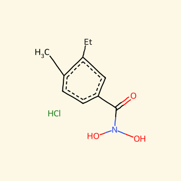 CCc1cc(C(=O)N(O)O)ccc1C.Cl